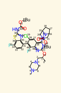 C[C@@H](CN1CCN(C)CC1)Oc1nc(N2CC3CCC(C2)N3C(=O)OC(C)(C)C)c2cc(Cl)c(-c3ccc(F)c4sc(NC(=O)OC(C)(C)C)nc34)c(F)c2n1